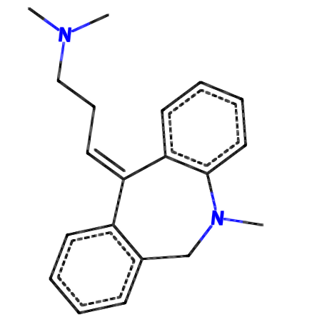 CN(C)CC/C=C1/c2ccccc2CN(C)c2ccccc21